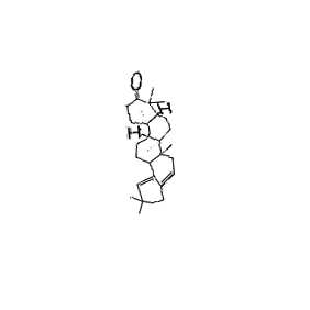 CC1(C)C=C2C(=CC[C@]3(C)C2CC[C@@H]2[C@@]4(C)CCC(=O)C(C)(C)[C@@H]4CC[C@]23C)CC1